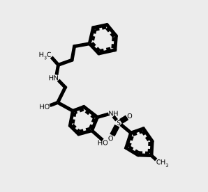 Cc1ccc(S(=O)(=O)Nc2cc(C(O)CNC(C)CCc3ccccc3)ccc2O)cc1